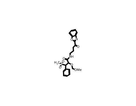 COCOC(C(=O)NCCCC(=O)c1nc2ccccc2o1)C(c1ccccc1)S(C)(=O)=O